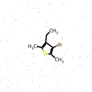 CCc1c(C)sc(C)c1Br